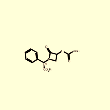 CC(C)COC(=O)OC1CN([C@@H](C(=O)O)c2ccccc2)C1=O